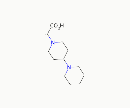 O=C(O)[CH]N1CCC(N2CCCCC2)CC1